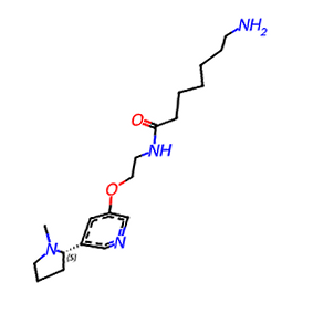 CN1CCC[C@H]1c1cncc(OCCNC(=O)CCCCCCN)c1